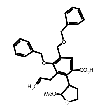 C=CCc1c(OCc2ccccc2)c(COCc2ccccc2)cc(C(=O)O)c1C1CCOC1OC